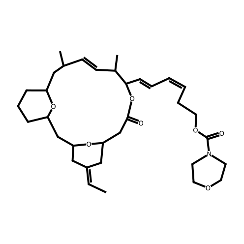 C/C=C1\CC2CC(=O)OC(/C=C/C=C\CCOC(=O)N3CCOCC3)C(C)/C=C/C(C)CC3CCCC(CC(C1)O2)O3